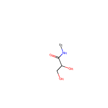 [CH2]CNC(=O)C(O)CO